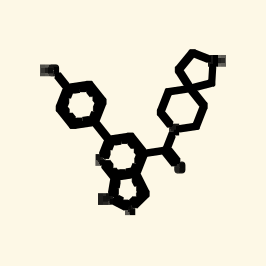 O=C(c1cc(-c2ccc(O)cc2)nc2[nH]ncc12)N1CCC2(CCNC2)CC1